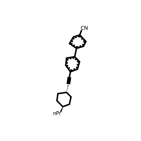 CCC[C@H]1CC[C@H](C#Cc2ccc(-c3ccc(C#N)cc3)cc2)CC1